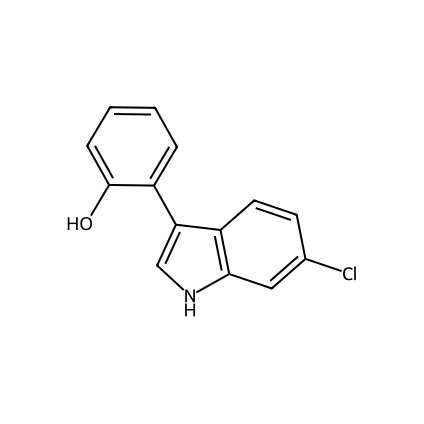 Oc1ccccc1-c1c[nH]c2cc(Cl)ccc12